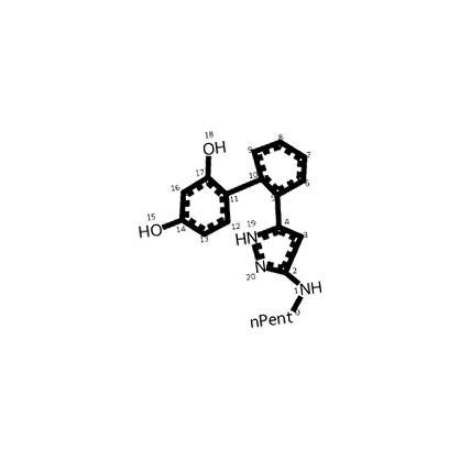 CCCCCNc1cc(-c2ccccc2-c2ccc(O)cc2O)[nH]n1